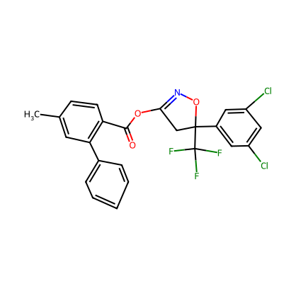 Cc1ccc(C(=O)OC2=NOC(c3cc(Cl)cc(Cl)c3)(C(F)(F)F)C2)c(-c2ccccc2)c1